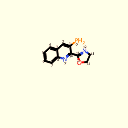 Pc1cc2ccccc2nc1C1=NCCO1